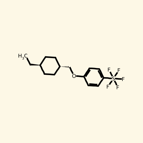 CC[C@H]1CC[C@H](COc2ccc(S(F)(F)(F)(F)F)cc2)CC1